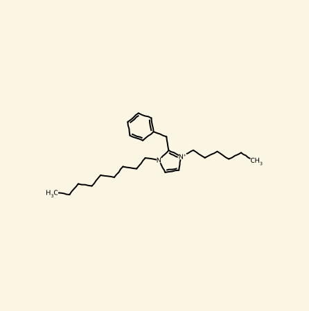 CCCCCCCCCn1cc[n+](CCCCCC)c1Cc1ccccc1